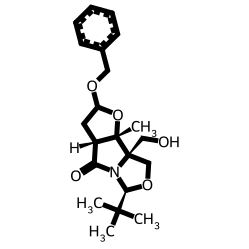 CC(C)(C)[C@@H]1OC[C@]2(CO)N1C(=O)[C@@H]1CC(OCc3ccccc3)O[C@@]12C